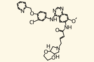 COc1cc2ncnc(Nc3ccc(OCc4ccccn4)c(Cl)c3)c2cc1NC(=O)C=CCN1C[C@@H]2OCCO[C@@H]2C1